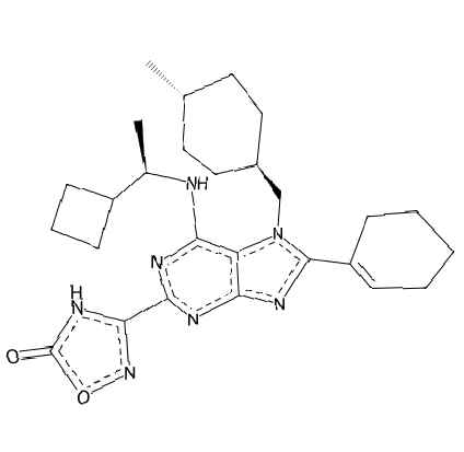 C[C@@H](Nc1nc(-c2noc(=O)[nH]2)nc2nc(C3=CCCCC3)n(C[C@H]3CC[C@H](C)CC3)c12)C1CCC1